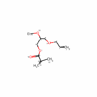 C=CCOCC(COC(=O)C(=C)C)OCC